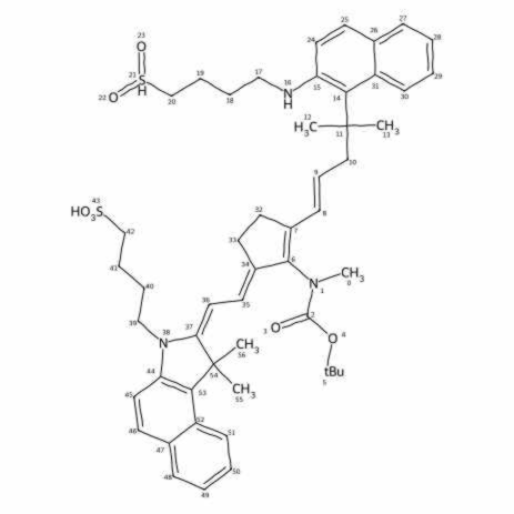 CN(C(=O)OC(C)(C)C)C1=C(/C=C/CC(C)(C)c2c(NCCCC[SH](=O)=O)ccc3ccccc23)CC/C1=C\C=C1\N(CCCCS(=O)(=O)O)c2ccc3ccccc3c2C1(C)C